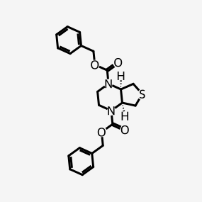 O=C(OCc1ccccc1)N1CCN(C(=O)OCc2ccccc2)[C@H]2CSC[C@H]21